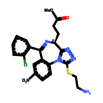 COC(=O)CC[C@@H]1N=C(c2ccccc2Cl)c2cc([N+](=O)[O-])ccc2-n2c(SCCN)nnc21